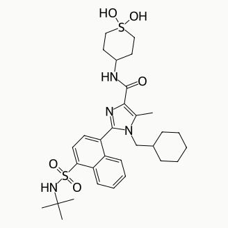 Cc1c(C(=O)NC2CCS(O)(O)CC2)nc(-c2ccc(S(=O)(=O)NC(C)(C)C)c3ccccc23)n1CC1CCCCC1